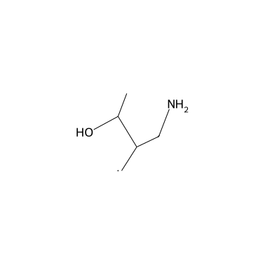 [CH2]C(CN)C(C)O